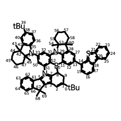 CC(C)(C)C1=Cc2c3c(n4c2C(C1)B1c2cc(-c5cccc6c5sc5ccccc56)cc5c2N(c2cc(N6c7ccc(C(C)(C)C)cc7C7(C)CCCCC67C)cc-4c21)C1(C)CCCCC51C)-c1ccccc1C3(C)C